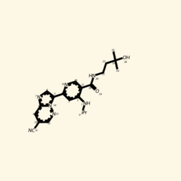 CC(C)Nc1cc(-c2cnc3cc(C#N)cnn23)ncc1C(=O)NCCC(C)(C)O